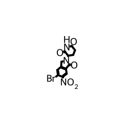 O=C1CCC(N2Cc3cc(Br)c([N+](=O)[O-])cc3C2=O)C(=O)N1